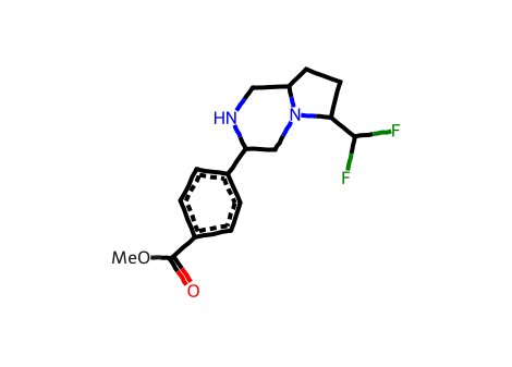 COC(=O)c1ccc(C2CN3C(CCC3C(F)F)CN2)cc1